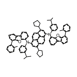 Cc1ccccc1-c1cccc2c1oc1c(N(c3cccc(C(C)C)c3)c3cc(C4CCCC4)c4ccc5c(N(c6cccc(C(C)C)c6)c6cccc7c6oc6c(-c8ccccc8C)cccc67)cc(C6CCCC6)c6ccc3c4c65)cccc12